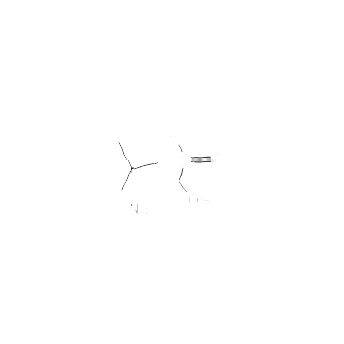 C[C](C)C.O=S([O-])CO.[Na+]